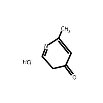 CC1=CC(=O)CC=N1.Cl